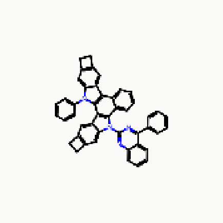 c1ccc(-c2nc(-n3c4cc5c(cc4c4c3c3ccccc3c3c6cc7c(cc6n(-c6ccccc6)c34)CC7)CC5)nc3ccccc23)cc1